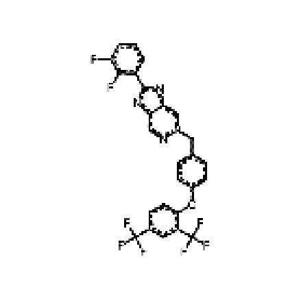 Fc1cccc(-c2nc3cnn(Cc4ccc(Oc5ccc(C(F)(F)F)cc5C(F)(F)F)cc4)cc-3n2)c1F